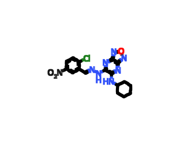 O=[N+]([O-])c1ccc(Cl)c(C=NNc2nc3nonc3nc2NC2CCCCC2)c1